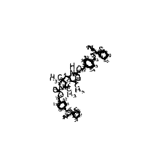 CCCC(CC(C)(CCC)CNC(=O)OCc1ccc(CSC2(C#N)SC3C=CC2C3)cc1)NC(=O)OCc1ccc(CSC2(C#N)SC3C=CC2C3)cc1